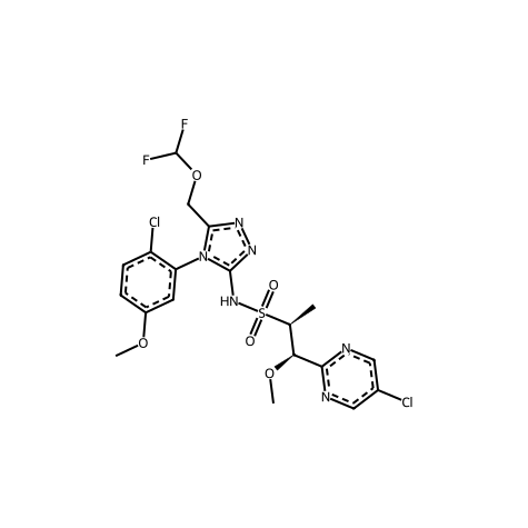 COc1ccc(Cl)c(-n2c(COC(F)F)nnc2NS(=O)(=O)[C@@H](C)[C@H](OC)c2ncc(Cl)cn2)c1